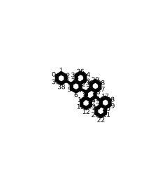 c1ccc(-c2ccc(-c3c4ccccc4c(-c4cccc5ccccc45)c4ccccc34)c3ccccc23)cc1